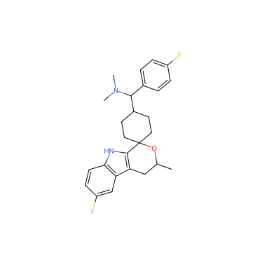 CC1Cc2c([nH]c3ccc(F)cc23)C2(CCC(C(c3ccc(F)cc3)N(C)C)CC2)O1